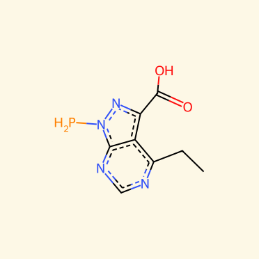 CCc1ncnc2c1c(C(=O)O)nn2P